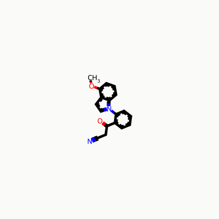 COc1cccc2c1ccn2-c1ccccc1C(=O)CC#N